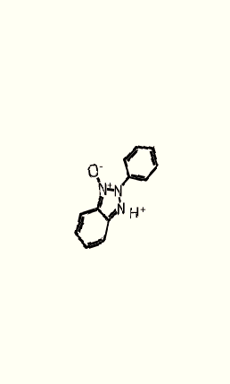 [H+].[O-][n+]1c2ccccc2nn1-c1ccccc1